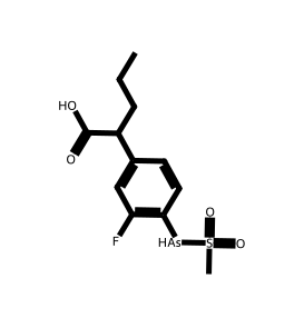 CCCC(C(=O)O)c1ccc([AsH]S(C)(=O)=O)c(F)c1